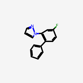 Fc1ccc(-c2ccccc2)c(-n2cccn2)c1